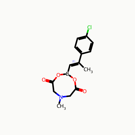 C/C(=C\B1OC(=O)CN(C)CC(=O)O1)c1ccc(Cl)cc1